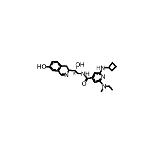 CCN(C)c1cc(C(=O)NC[C@@H](O)C2Cc3ccc(O)cc3C=N2)cc(NC2CCC2)n1